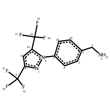 NCc1ccc(-n2nc(C(F)(F)F)cc2C(F)(F)F)cc1